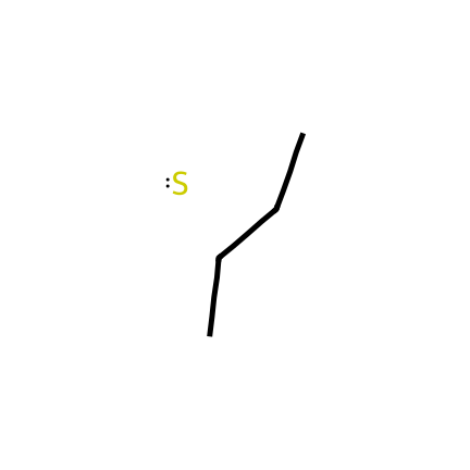 CCCC.[S]